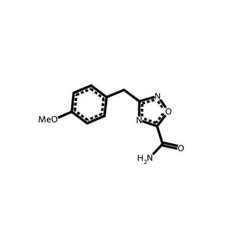 COc1ccc(Cc2noc(C(N)=O)n2)cc1